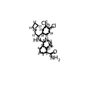 NC(=O)c1cccc2c(NC(CN3CCC3)c3ccc(Cl)c(C(F)(F)F)c3)nnnc12